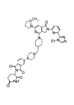 CCn1cnnc1-c1cccc(N2Cc3c(cc(N4CCC[C@H]4C)nc3N3CCC(CN4CCN(c5ccc6c(c5)C(=O)N(C5CCC(=O)NC5=O)C6=O)CC4)CC3)C2=O)n1